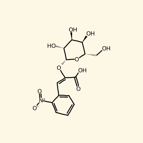 O=C(O)/C(=C\c1ccccc1[N+](=O)[O-])O[C@H]1O[C@@H](CO)[C@H](O)[C@H](O)[C@H]1O